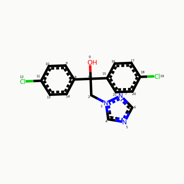 OC(Cn1cncn1)(c1ccc(Cl)cc1)c1ccc(Cl)cc1